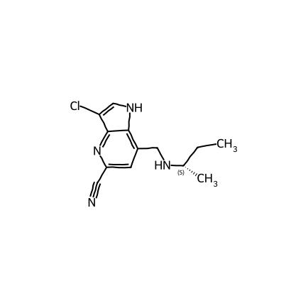 CC[C@H](C)NCc1cc(C#N)nc2c(Cl)c[nH]c12